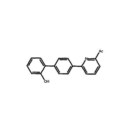 CC(=O)c1cccc(-c2ccc(-c3ccccc3O)cc2)n1